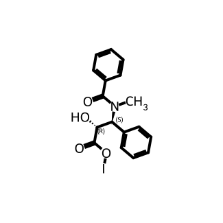 CN(C(=O)c1ccccc1)[C@@H](c1ccccc1)[C@@H](O)C(=O)OI